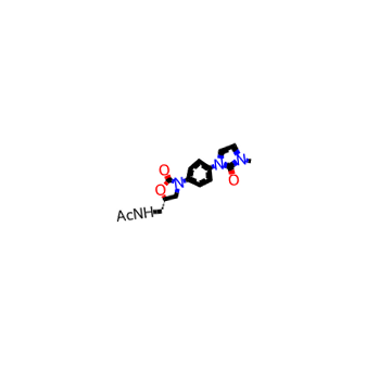 CC(=O)NC[C@H]1CN(c2ccc(-n3ccn(C)c3=O)cc2)C(=O)O1